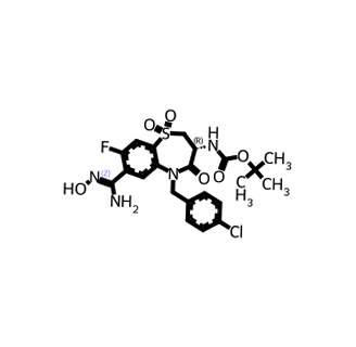 CC(C)(C)OC(=O)N[C@H]1CS(=O)(=O)c2cc(F)c(/C(N)=N/O)cc2N(Cc2ccc(Cl)cc2)C1=O